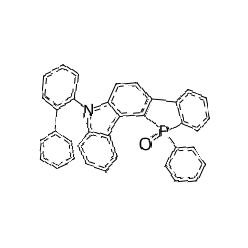 O=P1(c2ccccc2)c2ccccc2-c2ccc3c(c21)c1ccccc1n3-c1ccccc1-c1ccccc1